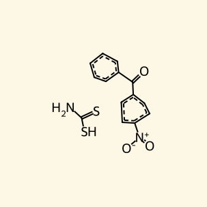 NC(=S)S.O=C(c1ccccc1)c1ccc([N+](=O)[O-])cc1